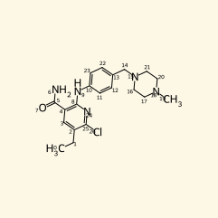 CCc1cc(C(N)=O)c(Nc2ccc(CN3CCN(C)CC3)cc2)nc1Cl